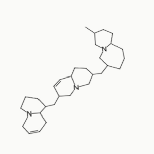 CC1CCC2CCCC(CC3CCC4C=CC(CC5CCCN6CC=CCC56)CN4C3)CN2C1